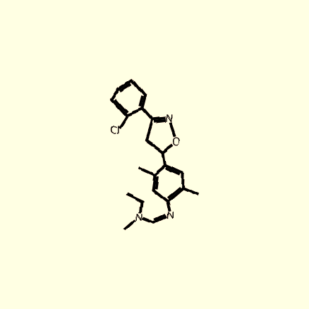 CCN(C)/C=N\c1cc(C)c(C2CC(c3ccccc3Cl)=NO2)cc1C